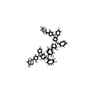 c1ccc(N(c2ccc(-c3ccc(N(c4ccccc4)c4ccc5c(c4)c4ccccc4n5-c4ccc(C5OCCO5)cc4)cc3)cc2)c2ccc3c(c2)c2ccccc2n3-c2ccc(C3OCCO3)cc2)cc1